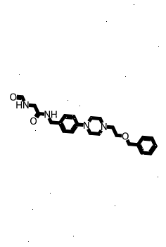 O=CNCC(=O)NCc1ccc(N2CCN(CCOCc3ccccc3)CC2)cc1